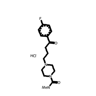 CNC(=O)N1CCN(CCCC(=O)c2ccc(F)cc2)CC1.Cl